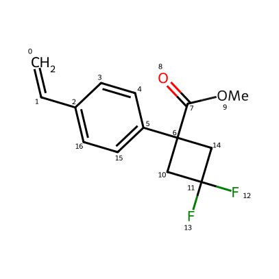 C=Cc1ccc(C2(C(=O)OC)CC(F)(F)C2)cc1